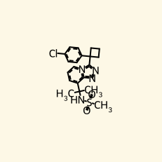 CC(C)(NS(C)(=O)=O)c1cccn2c(C3(c4ccc(Cl)cc4)CCC3)nnc12